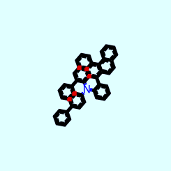 c1ccc(-c2ccc(N(c3ccccc3-c3ccccc3)c3ccccc3-c3cc4ccccc4c4c3ccc3ccccc34)cc2)cc1